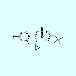 CC(C)(C)OC(=O)NS(=O)(=O)C=C1CC2(CC2)Oc2cc(F)ccc21